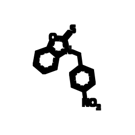 O=[N+]([O-])c1ccc(Cn2c(=S)oc3ccccc32)cc1